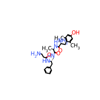 Cc1cc(O)cc(C)c1C[C@H](N)C(=O)N[C@H](C)C(=O)NC[C@H](Cc1ccccc1)NC(=O)CCN